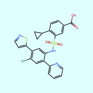 O=C(O)c1ccc(C2CC2)c(S(=O)(=O)Nc2cc(-c3ccns3)c(Cl)cc2-c2ccccn2)c1